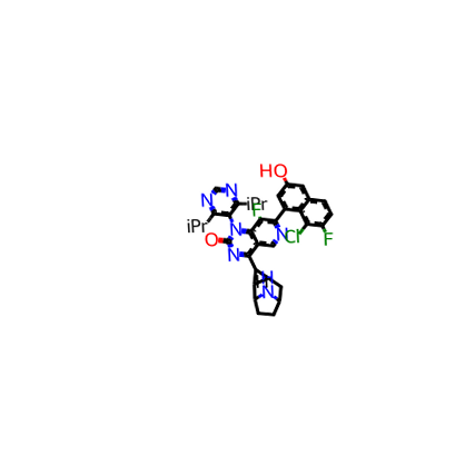 CC(C)c1ncnc(C(C)C)c1-n1c(=O)nc(C2C3CC4CCC(N4)[C@H]32)c2cnc(-c3cc(O)cc4ccc(F)c(Cl)c34)c(F)c21